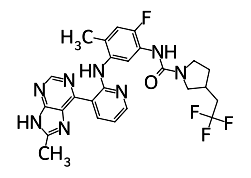 Cc1nc2c(-c3cccnc3Nc3cc(NC(=O)N4CCC(CC(F)(F)F)C4)c(F)cc3C)ncnc2[nH]1